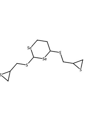 C1CC(SCC2CS2)[Se]C(SCC2CS2)[Se]1